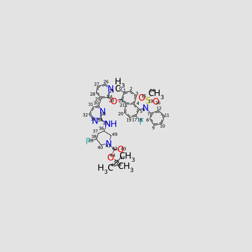 Cc1ccc2c(N(c3ccccc3)S(C)(=O)=O)c(F)ccc2c1Oc1ncccc1-c1ccnc(NC2CC(F)CN(C(=O)OC(C)(C)C)C2)n1